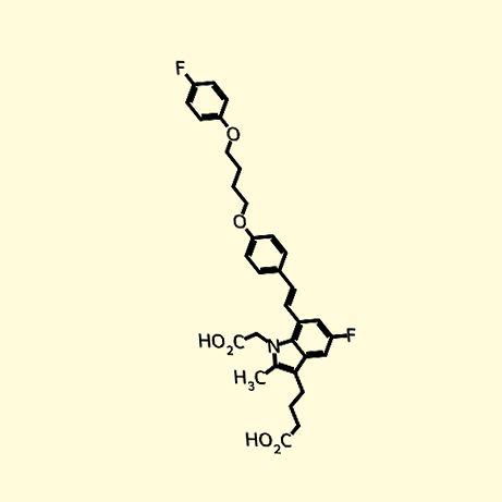 Cc1c(CCCC(=O)O)c2cc(F)cc(/C=C/c3ccc(OCCCCOc4ccc(F)cc4)cc3)c2n1CC(=O)O